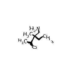 CCC(C)(CN)C(C)=O